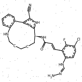 N#Cc1[nH]c2nc1-c1ccccc1NCCCCC[C@@H]2NC(=O)/C=C/c1c(N/C=N\N)ccc(Cl)c1F